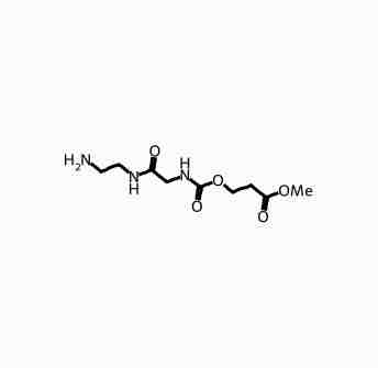 COC(=O)CCOC(=O)NCC(=O)NCCN